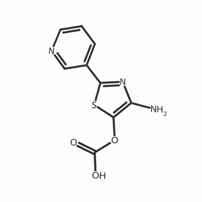 Nc1nc(-c2cccnc2)sc1OC(=O)O